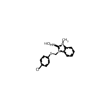 Cl.Cn1c(=N)n(CSc2ccc(Cl)cc2)c2ccccc21